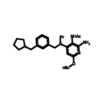 CCCCOc1cc(N(Cc2cccc(CN3CCCC3)c2)C(C)C)c(NC(C)=O)c(N)n1